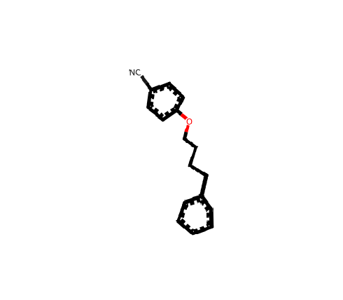 N#Cc1ccc(OCCCCc2ccccc2)cc1